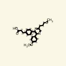 COCCCc1cnc(-c2ccc(OC)cc2)c(-c2ccc(CCC(=O)O)cc2)n1